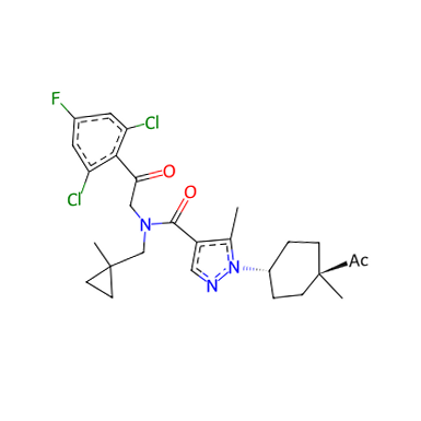 Cc1c(C(=O)N(CC(=O)c2c(Cl)cc(F)cc2Cl)CC2(C)CC2)cnn1[C@H]1CC[C@](C)(C(C)=O)CC1